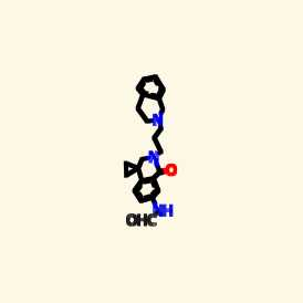 O=CNc1ccc2c(c1)C(=O)N(CCCN1CCc3ccccc3C1)CC21CC1